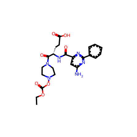 CCOC(=O)ON1CCN(C(=O)[C@H](CCC(=O)O)NC(=O)c2cc(N)nc(-c3ccccc3)n2)CC1